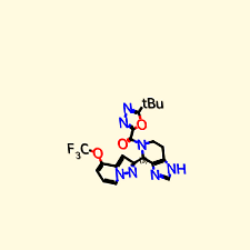 CC(C)(C)c1nnc(C(=O)N2CCc3[nH]cnc3[C@H]2c2cc3c(OC(F)(F)F)cccn3n2)o1